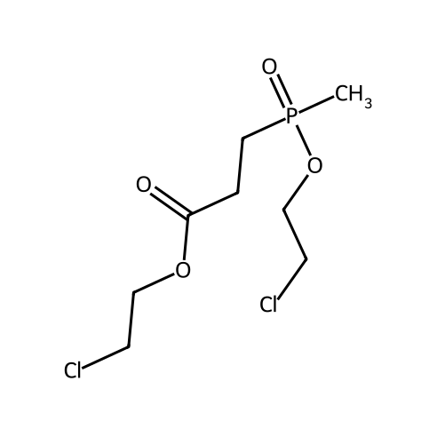 CP(=O)(CCC(=O)OCCCl)OCCCl